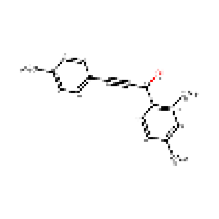 COc1ccc(C#CC(O)c2ccc(OC)cc2OC)cc1